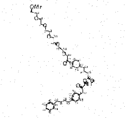 COCCOCCOCCOCCOCCOCC(=O)N1CCC(CCCC(=O)ONC(=O)Cc2ccc(CCCCc3ccccc3)cc2)CC1